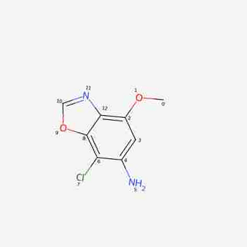 COc1cc(N)c(Cl)c2ocnc12